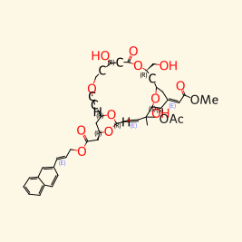 COC(=O)/C=C1\CC2C[C@H](CO)OC(=O)C[C@H](O)CCOCC[C@@H]3C[C@H](CC(=O)OC/C=C/c4ccc5ccccc5c4)O[C@H](/C=C/C(C)(C)[C@](O)(O2)[C@H]1OC(C)=O)O3